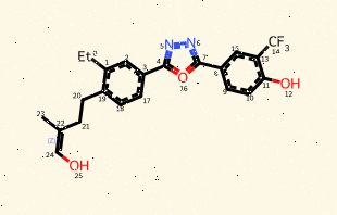 CCc1cc(-c2nnc(-c3ccc(O)c(C(F)(F)F)c3)o2)ccc1CC/C(C)=C\O